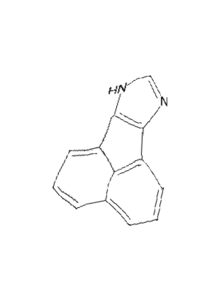 c1cc2c3c(cccc3c1)-c1[nH]cnc1-2